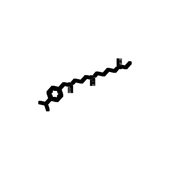 CCNCCCCNCCCNCc1ccc(C(C)C)cc1